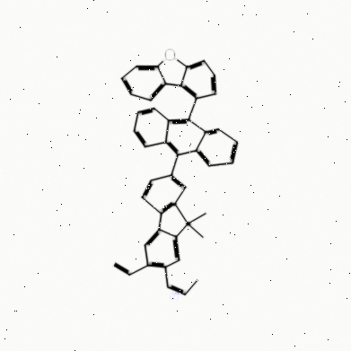 C=Cc1cc2c(cc1/C=C\C)C(C)(C)c1cc(-c3c4ccccc4c(-c4cccc5oc6ccccc6c45)c4ccccc34)ccc1-2